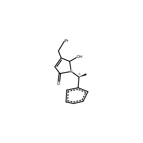 CC(C)CC1=CC(=O)N([C@@H](C)c2ccccc2)C1O